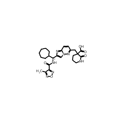 Cc1nonc1C(=O)N[C@H](c1cn2nc(CC3(C(=O)O)CCCNC3=O)ccc2n1)C1CCCCCC1